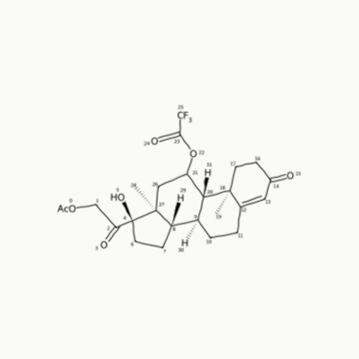 CC(=O)OCC(=O)[C@@]1(O)CC[C@H]2[C@@H]3CCC4=CC(=O)CC[C@]4(C)[C@H]3C(OC(=O)C(F)(F)F)C[C@@]21C